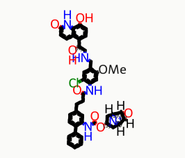 COc1cc(NC(=O)CCc2ccc(-c3ccccc3)c(NC(=O)O[C@@H]3C[C@@H]4[C@H]5O[C@H]5[C@H](C3)[N+]4(C)C)c2)c(Cl)cc1CNC[C@H](O)c1ccc(O)c2[nH]c(=O)ccc12